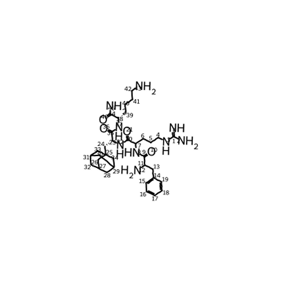 N=C(N)NCCCC(NC(=O)C(N)Cc1ccccc1)C(=O)N[C@H](CC12CC3CC(CC(C3)C1)C2)C(=O)N[C@@H](CCCCN)C(N)=O